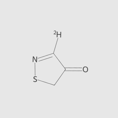 [2H]C1=NSCC1=O